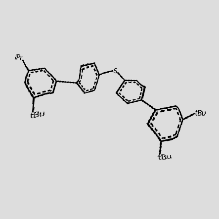 CC(C)c1cc(-c2ccc(Sc3ccc(-c4cc(C(C)(C)C)cc(C(C)(C)C)c4)cc3)cc2)cc(C(C)(C)C)c1